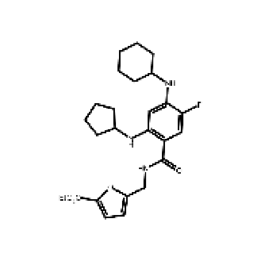 CCOC(=O)c1ccc(CNC(=O)c2cc(F)c(NC3CCCCC3)cc2NC2CCCC2)o1